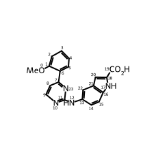 COc1ccccc1-c1ccnc(Nc2ccc3[nH]c(C(=O)O)cc3c2)n1